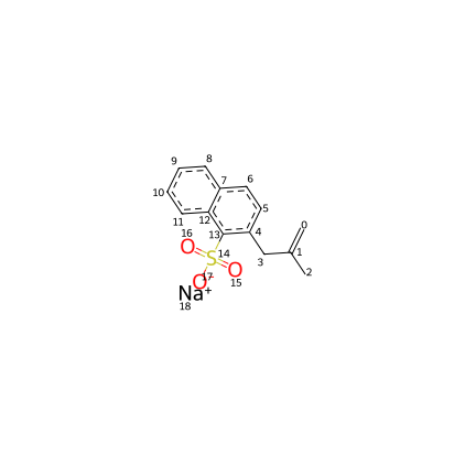 C=C(C)Cc1ccc2ccccc2c1S(=O)(=O)[O-].[Na+]